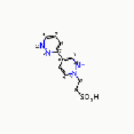 O=S(=O)(O)CCN1C=CC(c2cccnn2)=CN1